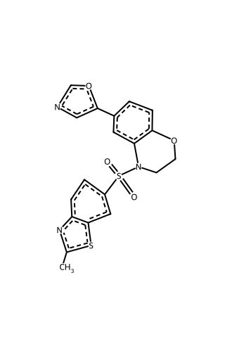 Cc1nc2ccc(S(=O)(=O)N3CCOc4ccc(-c5cnco5)cc43)cc2s1